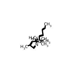 CC=CC=[CH][Ru]([CH3])([CH3])([CH3])([CH3])[C]1(C)C=C(C)C=N1